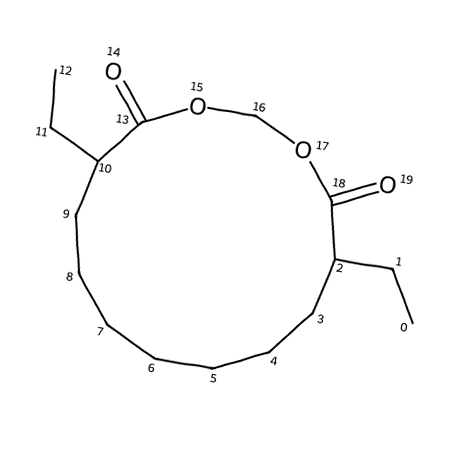 CCC1CCCCCCCC(CC)C(=O)OCOC1=O